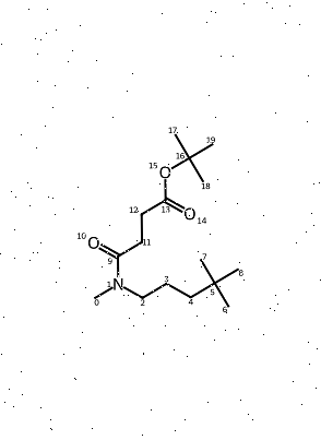 CN(CCCC(C)(C)C)C(=O)CCC(=O)OC(C)(C)C